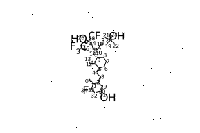 C=C1/C(=C\C=C2/CCC[C@@]3(C)C2CC[C@@H]3[C@](C)(CCCC(C)(C)O)CC(O)(C(F)(F)F)C(F)(F)F)C[C@@H](O)C[C@@H]1F